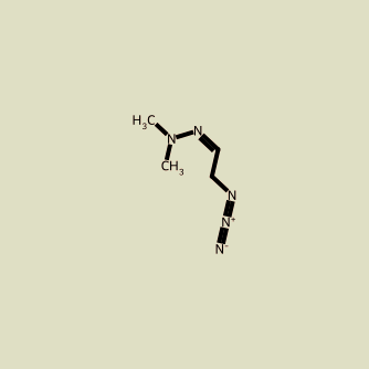 CN(C)/N=C\CN=[N+]=[N-]